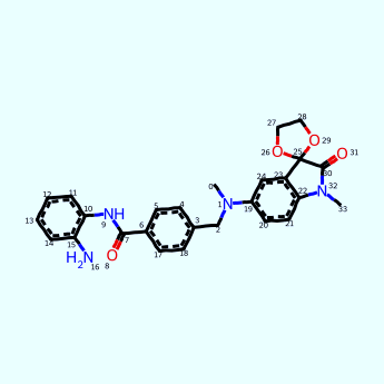 CN(Cc1ccc(C(=O)Nc2ccccc2N)cc1)c1ccc2c(c1)C1(OCCO1)C(=O)N2C